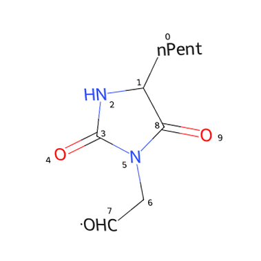 CCCCCC1NC(=O)N(C[C]=O)C1=O